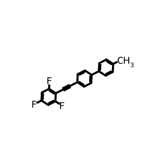 Cc1ccc(-c2ccc(C#Cc3c(F)cc(F)cc3F)cc2)cc1